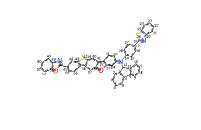 c1ccc2c(c1)-c1ccccc1C2N(c1ccc(-c2nc3ccccc3s2)cc1)c1ccc2c(c1)oc1cc3c(cc12)sc1cc(-c2nc4ccccc4o2)ccc13